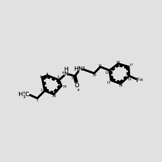 CCc1ccc(NC(=O)NCCc2ccc(F)cc2)cc1